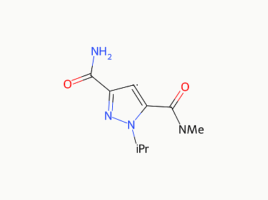 CNC(=O)c1[c]c(C(N)=O)nn1C(C)C